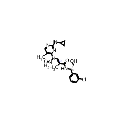 C=NN(/C=C(\C)C(=O)N[C@H](CO)c1cccc(Cl)c1)c1nc(NC2CC2)ncc1C